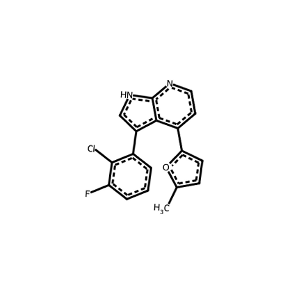 Cc1ccc(-c2ccnc3[nH]cc(-c4cccc(F)c4Cl)c23)o1